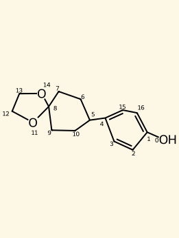 Oc1ccc(C2CCC3(CC2)OCCO3)cc1